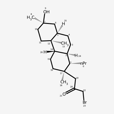 CCC[C@H]1[C@@H]2CC[C@@H]3C[C@](C)(O)CC[C@]3(C)[C@H]2CC[C@]1(C)CC(=O)CBr